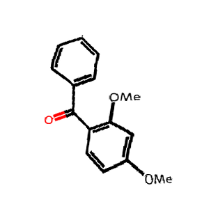 COc1ccc(C(=O)c2cc[c]cc2)c(OC)c1